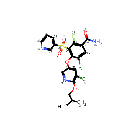 CC(C)COc1ncc(Oc2c(Cl)cc(C(N)=O)c(F)c2S(=O)(=O)c2cccnc2)cc1Cl